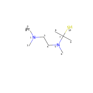 CC(C)N(C)CCN(C)C(C)(C)S